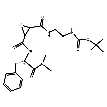 CN(C)C(=O)[C@H](Cc1ccccc1)NC(=O)C1OC1C(=O)NCCNC(=O)OC(C)(C)C